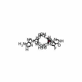 NC1NC=Nc2c1ncn2[C@H]1C[C@@H]2OP(=O)(O)OC[C@H]3O[C@@H](n4cc(F)c5c(=O)[nH]cnc54)[C@H](OP(=O)(S)OC[C@H]2O1)[C@@H]3O